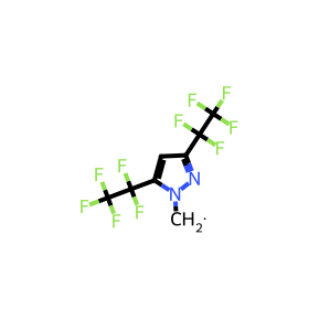 [CH2]n1nc(C(F)(F)C(F)(F)F)cc1C(F)(F)C(F)(F)F